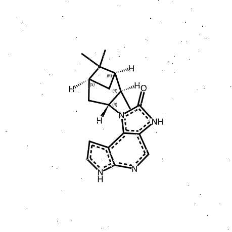 C[C@H]1[C@H](n2c(=O)[nH]c3cnc4[nH]ccc4c32)C[C@@H]2C[C@H]1C2(C)C